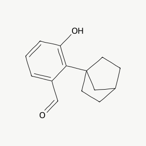 O=Cc1cccc(O)c1C12CCC(CC1)C2